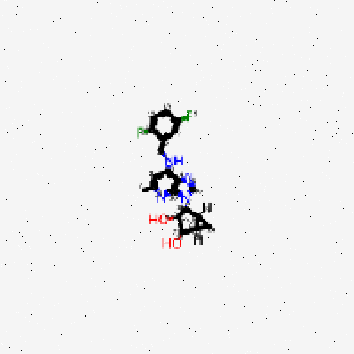 Cc1cc(NCc2cc(F)ccc2F)c2ncn([C@H]3[C@H](O)[C@H](O)[C@@H]4C[C@@H]43)c2n1